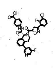 O=C(O)c1ccc(NC(=O)[C@H]2c3cccc(-c4cncc(F)c4)c3CCN2C(=O)C2CC(c3cccc(Cl)c3F)=NO2)cc1